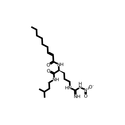 CCCCCCC=CC(=O)N[C@@H](CCCNC(=N)N[N+](=O)[O-])C(=O)N[CH]CC(C)C